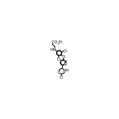 CCOC(=O)CCNc1cc(Cl)c(Oc2ccc(C3COC(Cl)CN3)nn2)c(Cl)c1